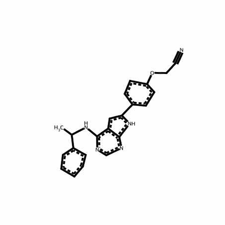 CC(Nc1ncnc2[nH]c(-c3ccc(OCC#N)cc3)cc12)c1ccccc1